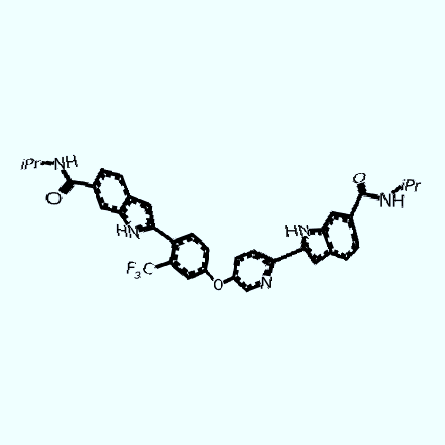 CC(C)NC(=O)c1ccc2cc(-c3ccc(Oc4ccc(-c5cc6ccc(C(=O)NC(C)C)cc6[nH]5)c(C(F)(F)F)c4)cn3)[nH]c2c1